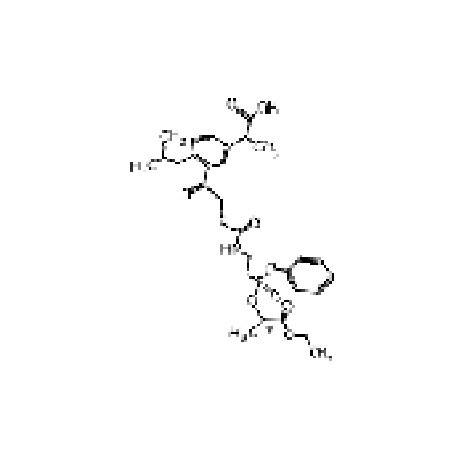 CCOC(=O)[C@H](C)OP(=O)(CCNC(=O)CCC(=O)c1cc(C(C)C(=O)O)ccc1CC(C)C)Oc1ccccc1